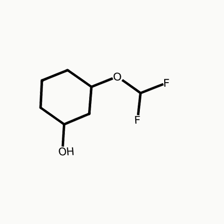 OC1CCCC(OC(F)F)C1